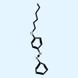 CCCCCCOc1ccc(/N=N/c2ccccc2)cc1